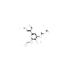 CN/C=C(\C=N)c1cc(NC(=O)OC(C)(C)C)c(N)c(NCN)n1